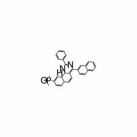 CP(C)(=O)C1=C[C@H]2c3nc(-c4ccccc4)nc(-c4ccc5ccccc5c4)c3C=CC2C=C1